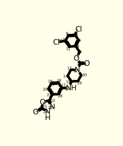 O=C(OCc1cc(Cl)cc(Cl)c1)N1CCC(Nc2cccc(-c3n[nH]c(=O)o3)c2)CC1